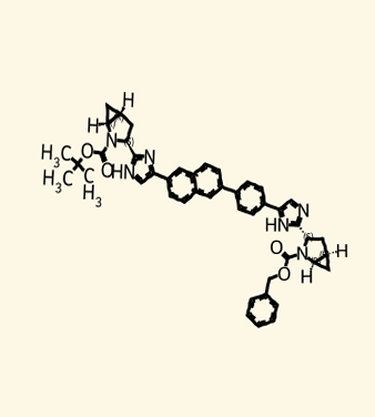 CC(C)(C)OC(=O)N1[C@@H]2C[C@@H]2C[C@H]1c1nc(-c2ccc3cc(-c4ccc(-c5cnc([C@@H]6C[C@H]7C[C@H]7N6C(=O)OCc6ccccc6)[nH]5)cc4)ccc3c2)c[nH]1